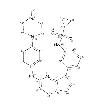 CN1CCN(c2ccc(Nc3ncc4ccn(-c5cccc(NS(=O)(=O)C6CC6)c5)c4n3)cc2)CC1